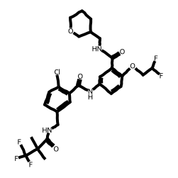 CC(C)(C(=O)NCc1ccc(Cl)c(C(=O)Nc2ccc(OCC(F)F)c(C(=O)NCC3CCCOC3)c2)c1)C(F)(F)F